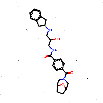 O=C(NCC(O)CNC1Cc2ccccc2C1)c1ccc(C(=O)N2CC3CCC(C2)O3)cc1